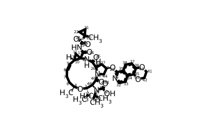 CC[C@@H]1O[C@H](C)CC/C=C\[C@@H]2CC2(C(=O)NS(=O)(=O)C2(C)CC2)NC(=O)[C@@H]2C[C@@H](Oc3nccc4c5c(ccc34)OCCO5)CN2C(=O)[C@H]1N(C(=O)O)C(C)(C)C